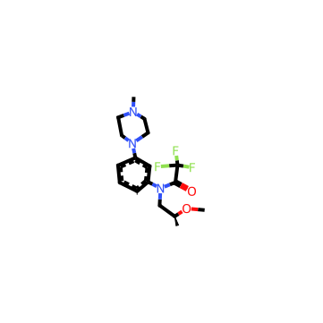 CO[C@@H](C)CN(C(=O)C(F)(F)F)c1[c]ccc(N2CCN(C)CC2)c1